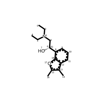 CCN(CC)C[C@@H](O)c1cccc2c(C)c(C)oc12